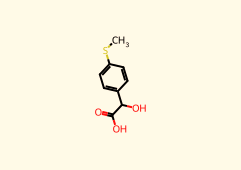 CSc1ccc(C(O)C(=O)O)cc1